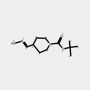 CC(C)(C)OC(=O)N1CCC(/C=N/S)CC1